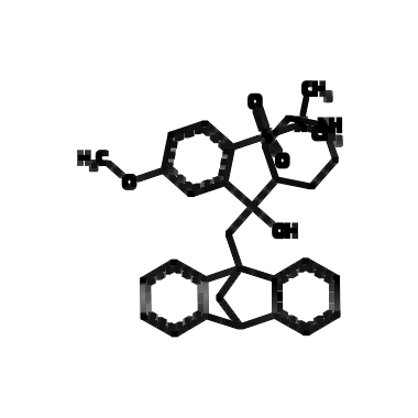 COc1ccc(S(=O)(=O)N(C)C)c(C(O)(CC23CC(c4ccccc42)c2ccccc23)C2CCNCC2)c1